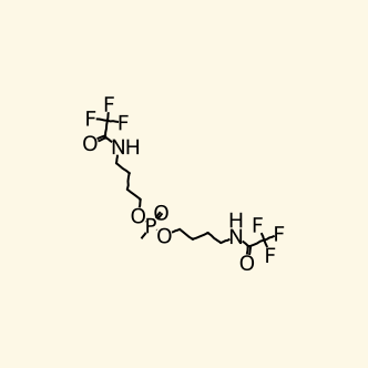 CP(=O)(OCCCCNC(=O)C(F)(F)F)OCCCCNC(=O)C(F)(F)F